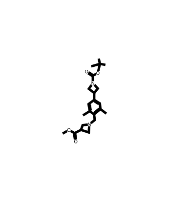 COC(=O)C1CN(Cc2c(C)cc(C3CN(C(=O)OC(C)(C)C)C3)cc2C)C1